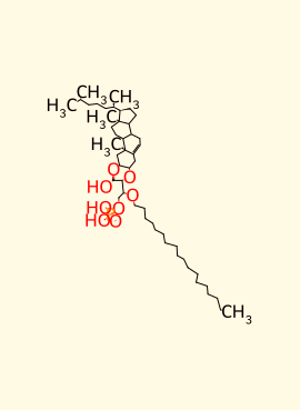 CCCCCCCCCCCCCCCCCCOC(COP(=O)(O)O)C(OC1CC[C@@]2(C)C(=CCC3C2CC[C@@]2(C)C3CC[C@@H]2[C@H](C)CCCC(C)C)C1)C(=O)O